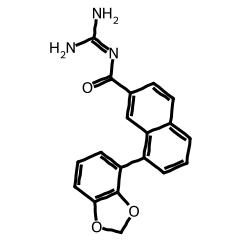 NC(N)=NC(=O)c1ccc2cccc(-c3cccc4c3OCO4)c2c1